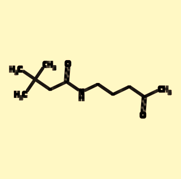 CC(=O)CCCNC(=O)CC(C)(C)C